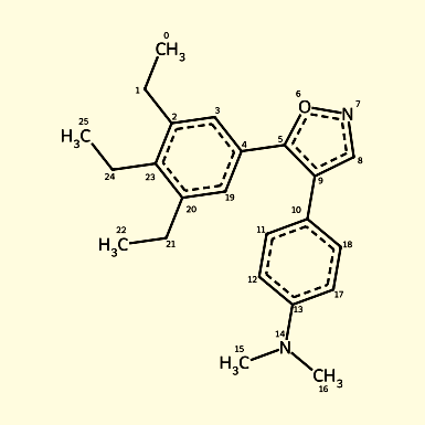 CCc1cc(-c2oncc2-c2ccc(N(C)C)cc2)cc(CC)c1CC